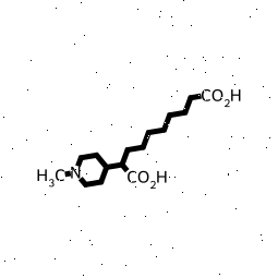 CN1CCC(C(CCCCCCCC(=O)O)C(=O)O)CC1